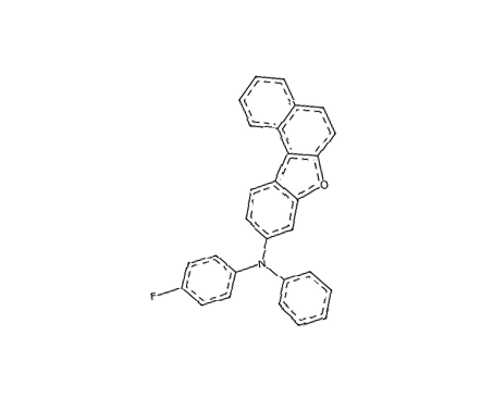 Fc1ccc(N(c2ccccc2)c2ccc3c(c2)oc2ccc4ccccc4c23)cc1